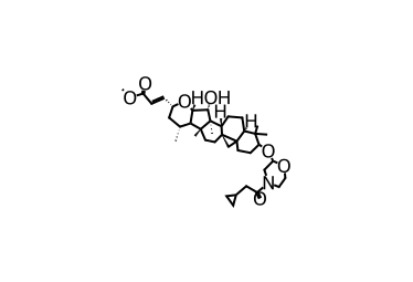 COC(=O)/C=C/[C@H]1C[C@@H](C)C2[C@H](O1)[C@H](O)[C@@]1(C)[C@@H]3CC[C@H]4C(C)(C)C(OC5CN(C(=O)CC6CC6)CCO5)CCC45C[C@@]35CC[C@]21C